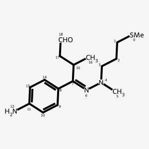 CSCCCN(C)/N=C(/c1ccc(N)cc1)C(C)CC=O